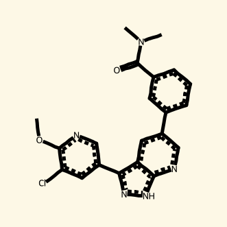 COc1ncc(-c2n[nH]c3ncc(-c4cccc(C(=O)N(C)C)c4)cc23)cc1Cl